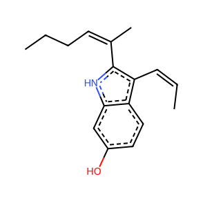 C/C=C\c1c(/C(C)=C\CCC)[nH]c2cc(O)ccc12